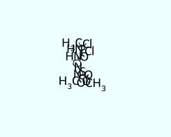 COC(=O)c1sc(N2CCCC(NC(=O)c3[nH]c(C)c(Cl)c3Cl)CC2)nc1C(C)=O